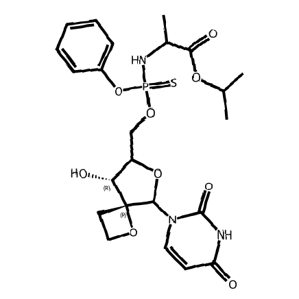 CC(C)OC(=O)C(C)NP(=S)(OCC1OC(n2ccc(=O)[nH]c2=O)[C@@]2(CCO2)[C@@H]1O)Oc1ccccc1